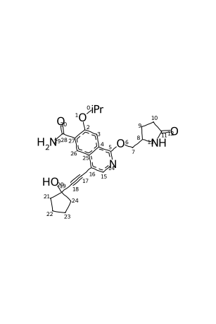 CC(C)Oc1cc2c(OCC3CCC(=O)N3)ncc(C#CC3(O)CCCC3)c2cc1C(N)=O